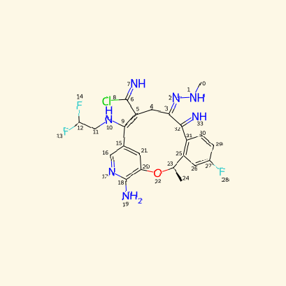 CN/N=C1/C/C(C(=N)Cl)=C(/NCC(F)F)c2cnc(N)c(c2)O[C@H](C)c2cc(F)ccc2C1=N